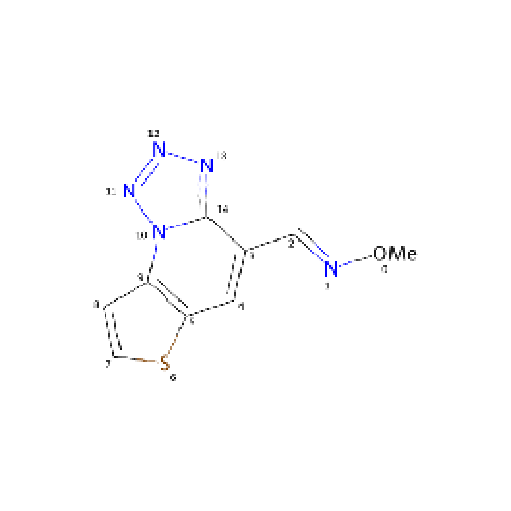 CON=Cc1cc2sccc2n2nnnc12